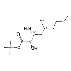 CCCC[S+]([O-])C[C@@H](N)C(O)C(=O)OC(C)(C)C